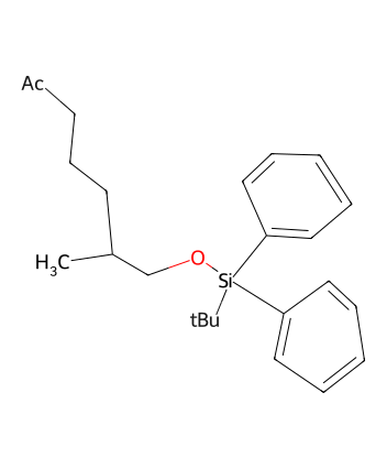 CC(=O)CCCC(C)CO[Si](c1ccccc1)(c1ccccc1)C(C)(C)C